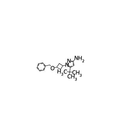 CC(C)(C)c1cc(N)nn1C1CC(OCc2ccccc2)C1